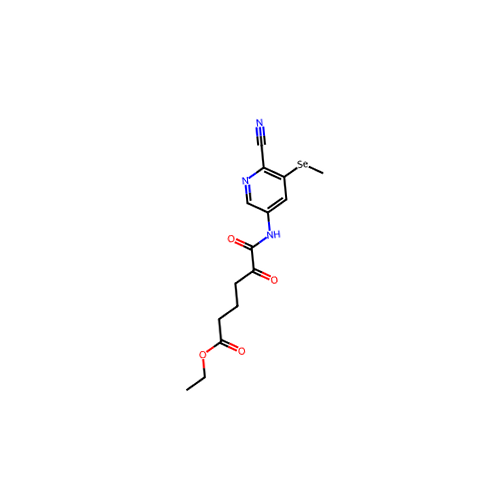 CCOC(=O)CCCC(=O)C(=O)Nc1cnc(C#N)c([Se]C)c1